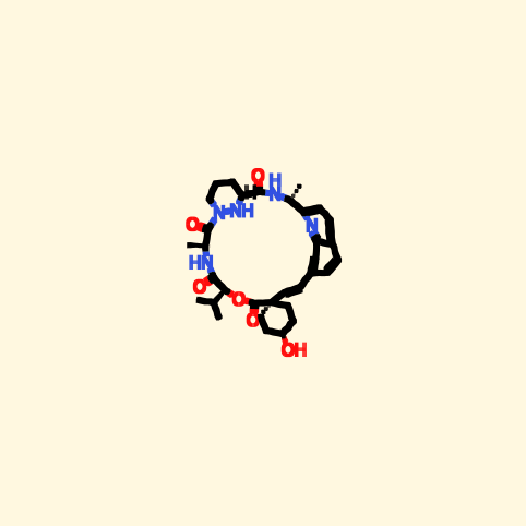 CC(C)[C@@H]1OC(=O)[C@]2(/C=C/c3ccc4ccc(nc4c3)[C@@H](C)NC(=O)[C@@H]3CCCN(N3)C(=O)[C@H](C)NC1=O)CC[C@H](O)CC2